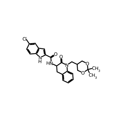 CC1(C)OCC(CN2C(=O)C(NC(=O)c3cc4cc(Cl)ccc4[nH]3)Cc3ccccc32)CO1